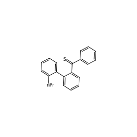 CCCc1ccccc1-c1ccccc1C(=S)c1ccccc1